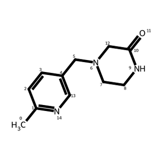 Cc1ccc(CN2CCNC(=O)C2)cn1